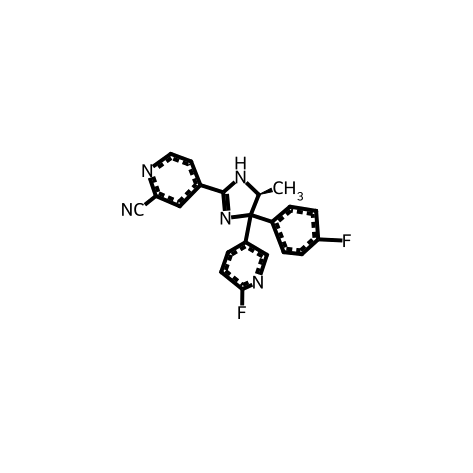 C[C@@H]1NC(c2ccnc(C#N)c2)=NC1(c1ccc(F)cc1)c1ccc(F)nc1